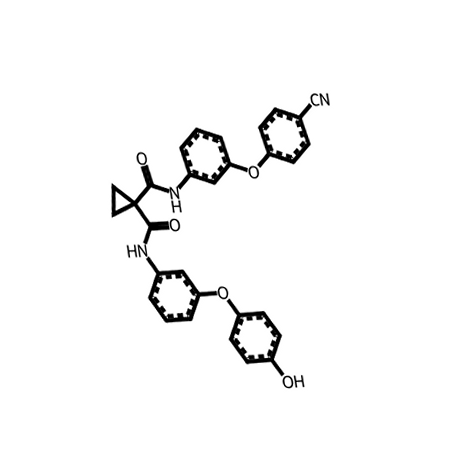 N#Cc1ccc(Oc2cccc(NC(=O)C3(C(=O)Nc4cccc(Oc5ccc(O)cc5)c4)CC3)c2)cc1